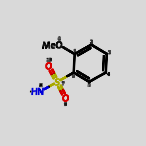 COc1ccccc1S([NH])(=O)=O